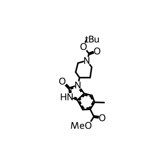 COC(=O)c1cc2[nH]c(=O)n(C3CCN(C(=O)OC(C)(C)C)CC3)c2cc1C